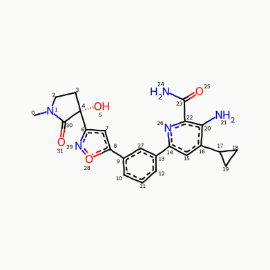 CN1CC[C@@](O)(c2cc(-c3cccc(-c4cc(C5CC5)c(N)c(C(N)=O)n4)c3)on2)C1=O